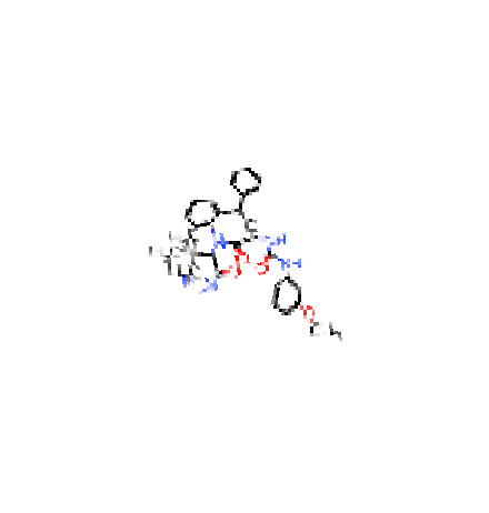 COc1cccc(NC(=O)NC2CC(c3ccccc3)c3ccccc3N(C(C(N)=O)C(C)(C)C)C2=O)c1